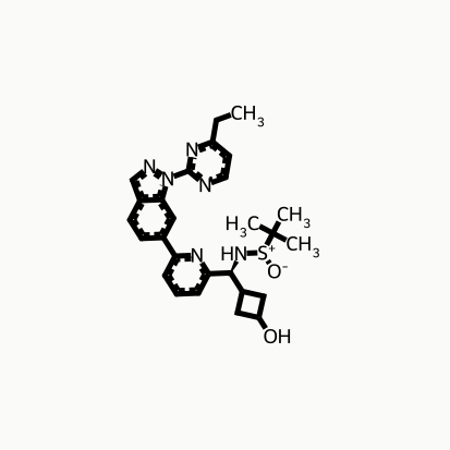 CCc1ccnc(-n2ncc3ccc(-c4cccc([C@@H](N[S+]([O-])C(C)(C)C)C5CC(O)C5)n4)cc32)n1